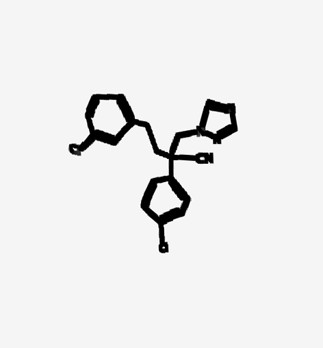 N#CC(CCc1cccc(Cl)c1)(Cn1cncn1)c1ccc(Cl)cc1